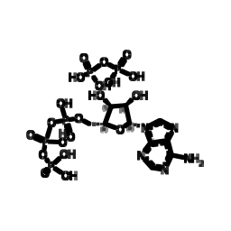 Nc1ncnc2c1ncn2[C@@H]1O[C@H](COP(=O)(O)OP(=O)(O)OP(=O)(O)O)[C@@H](O)[C@H]1O.O=P(O)(O)OP(=O)(O)O